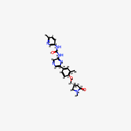 Cc1ccc(NC(=O)Nc2cncc(-c3ccc(OC[C@@H]4CC(=O)N(C)C4)c(C)c3)n2)cn1